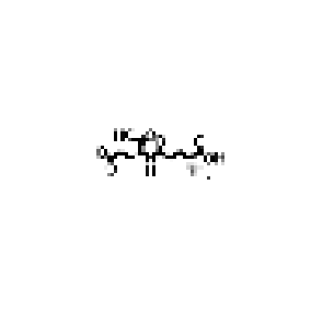 N[C@@H](CCC(=O)N[C@H](CCC(=O)O)C(=O)O)C(=O)O